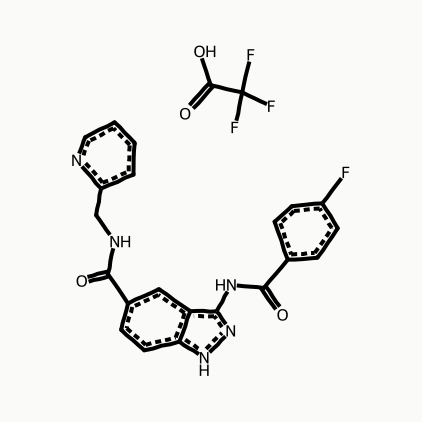 O=C(NCc1ccccn1)c1ccc2[nH]nc(NC(=O)c3ccc(F)cc3)c2c1.O=C(O)C(F)(F)F